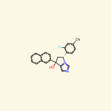 N#Cc1ccc([C@H]2C[C@@](O)(c3ccc4ccccc4c3)c3cncn32)c(F)c1